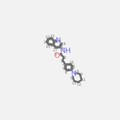 O=C(CCc1ccc(N2CCCCCC2)cc1)Nc1cnc2ccccc2c1